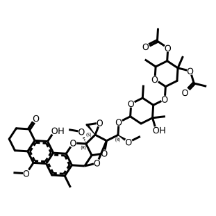 COc1c2c(c(O)c3c4c(c(C)cc13)C1OC3([C@H](OC)OC5CC(C)(O)C(OC6CC(C)(OC(C)=O)C(OC(C)=O)C(C)O6)C(C)O5)OC1[C@@](OC)(O4)[C@@]31CO1)C(=O)CCC2